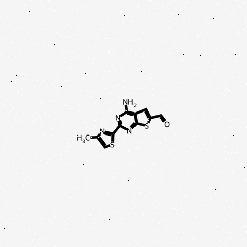 Cc1csc(-c2nc(N)c3cc(C=O)sc3n2)n1